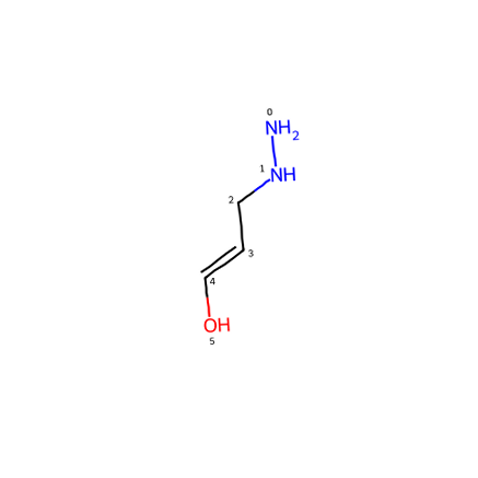 NNCC=CO